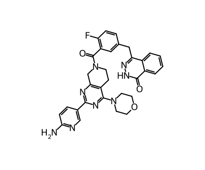 Nc1ccc(-c2nc3c(c(N4CCOCC4)n2)CCN(C(=O)c2cc(Cc4n[nH]c(=O)c5ccccc45)ccc2F)C3)cn1